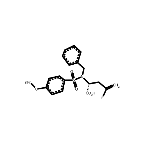 C=C(F)C[C@H](C(=O)O)N(Cc1ccccc1)S(=O)(=O)c1ccc(OCCC)cc1